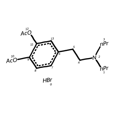 Br.CCCN(CCC)CCc1ccc(OC(C)=O)c(OC(C)=O)c1